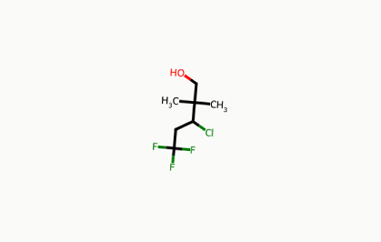 CC(C)(CO)C(Cl)CC(F)(F)F